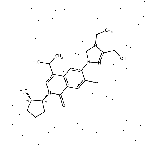 CCN1CN(c2cc3c(C(C)C)cn([C@H]4CCC[C@H]4C)c(=O)c3cc2F)N=C1CO